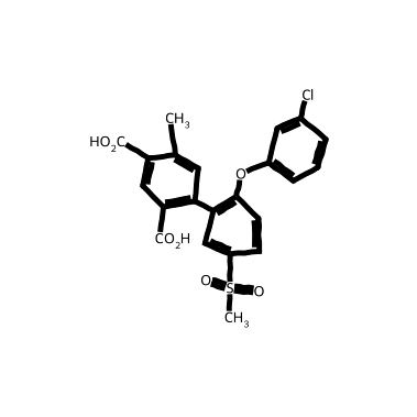 Cc1cc(-c2cc(S(C)(=O)=O)ccc2Oc2cccc(Cl)c2)c(C(=O)O)cc1C(=O)O